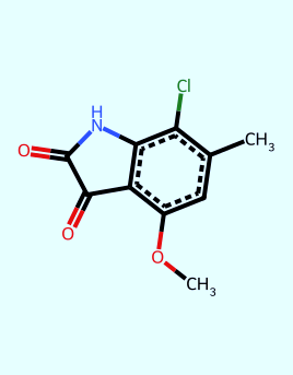 COc1cc(C)c(Cl)c2c1C(=O)C(=O)N2